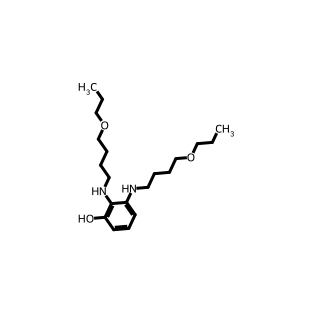 CCCOCCCCNc1cccc(O)c1NCCCCOCCC